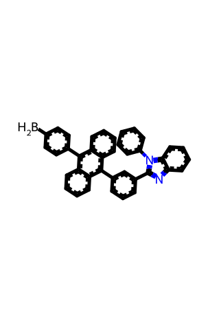 Bc1ccc(-c2c3ccccc3c(-c3cccc(-c4nc5ccccc5n4-c4ccccc4)c3)c3ccccc23)cc1